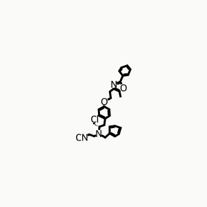 [C-]#[N+]CCN(Cc1ccccc1)[C@H](CCl)Cc1ccc(OCCc2nc(-c3ccccc3)oc2C)cc1